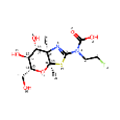 O=C(O)N(CCF)C1=N[C@@H]2[C@@H](O)[C@H](O)[C@@H](CO)O[C@@H]2S1